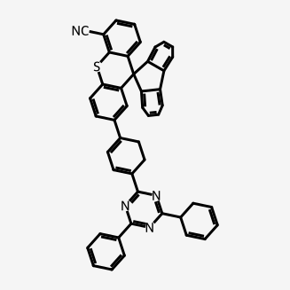 N#Cc1cccc2c1Sc1ccc(C3=CC=C(c4nc(-c5ccccc5)nc(C5C=CC=CC5)n4)CC3)cc1C21c2ccccc2-c2ccccc21